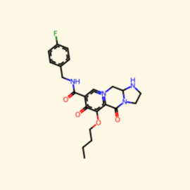 CCCCOc1c2n(cc(C(=O)NCc3ccc(F)cc3)c1=O)CC1NCCN1C2=O